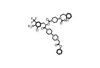 Nc1c(Cl)cc(C[C@@H](OC(=O)N2CCC(N3CCc4ccccc4NC3=O)CC2)C(=O)N2CCC(N3CCN(CC(=O)Oc4ccccc4)CC3)CC2)cc1C(F)(F)F